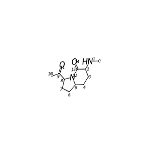 CNC1CCC2CCC(C(C)=O)N2C1=O